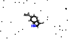 CC(=O)Oc1ccc2c(C)c[nH]c2c1